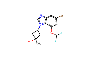 C[C@]1(O)C[C@@H](n2cnc3cc(Br)cc(OC(F)F)c32)C1